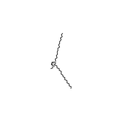 CCCCCCCCCCCCCCCCCN1C=CN(CC)C1CCCCCCCCCCCCCCCC